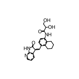 O=C1Nc2ncccc2C1=Cc1ccc(NC(=O)C(O)CO)c2c1CCCC2